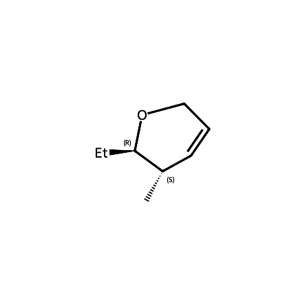 CC[C@H]1OCC=C[C@@H]1C